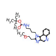 COCCc1nc2cnc3ccccc3c2n1CCCCNC(=O)OC(C)(C)C